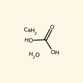 O.O=C(O)O.[CaH2]